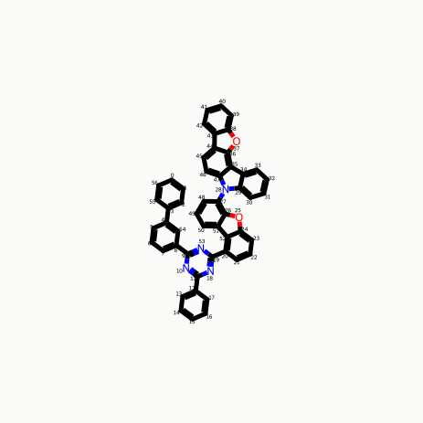 c1ccc(-c2cccc(-c3nc(-c4ccccc4)nc(-c4cccc5oc6c(-n7c8ccccc8c8c9oc%10ccccc%10c9ccc87)cccc6c45)n3)c2)cc1